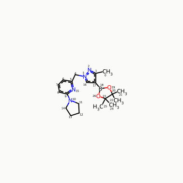 Cc1nn(Cc2cccc(N3CCCC3)n2)cc1B1OC(C)(C)C(C)(C)O1